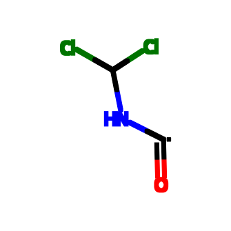 O=[C]NC(Cl)Cl